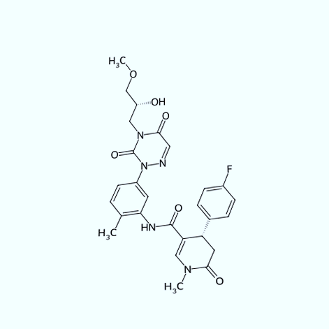 COC[C@H](O)Cn1c(=O)cnn(-c2ccc(C)c(NC(=O)C3=CN(C)C(=O)C[C@H]3c3ccc(F)cc3)c2)c1=O